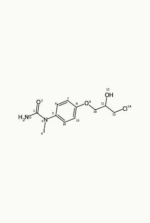 NC(=O)N(I)c1ccc(OCC(O)CCl)cc1